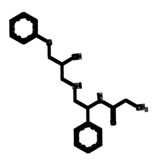 CCC(=O)NC(CNCC(O)COc1ccccc1)c1ccccc1